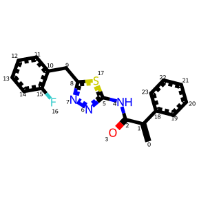 C=C(C(=O)Nc1nnc(Cc2ccccc2F)s1)c1ccccc1